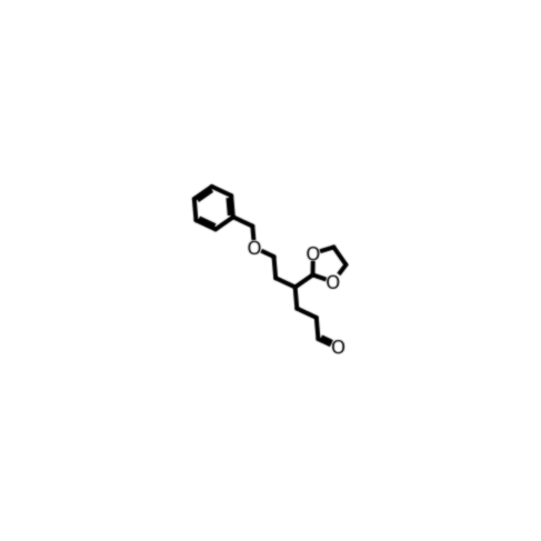 O=CCCC(CCOCc1ccccc1)C1OCCO1